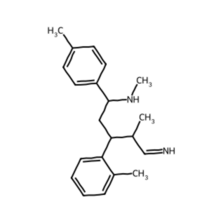 CNC(CC(c1ccccc1C)C(C)C=N)c1ccc(C)cc1